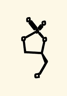 O=S1(=O)OC[C@H](CCl)O1